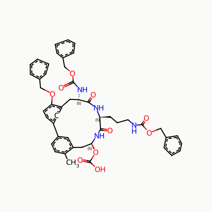 Cc1ccc2cc1C[C@H](OC(=O)O)NC(=O)[C@H](CCCNC(=O)OCc1ccccc1)NC(=O)[C@@H](NC(=O)OCc1ccccc1)Cc1cc-2ccc1OCc1ccccc1